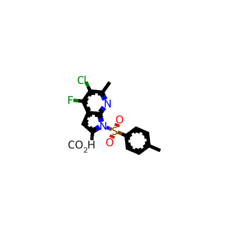 Cc1ccc(S(=O)(=O)n2c(C(=O)O)cc3c(F)c(Cl)c(C)nc32)cc1